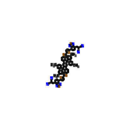 Cc1ccc(C2(c3ccc(C)cc3)c3cc4c(cc3-c3ccc5sc(-c6ccc(-c7ccc(C=C(C#N)C#N)c8nsnc78)s6)cc5c32)C(c2ccc(C)cc2)(c2ccc(C)cc2)c2c-4ccc3sc(-c4ccc(-c5ccc(C=C(C#N)C#N)c6nsnc56)s4)cc23)cc1